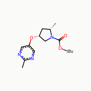 Cc1ncc(O[C@@H]2C[C@H](C)N(C(=O)OC(C)(C)C)C2)cn1